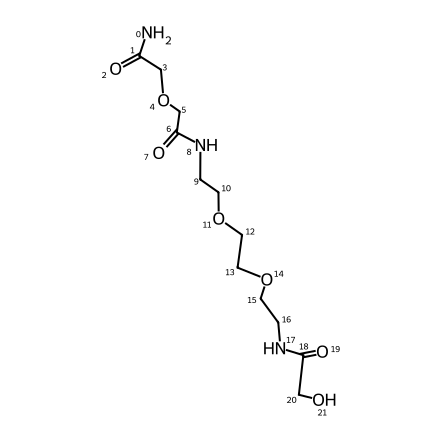 NC(=O)COCC(=O)NCCOCCOCCNC(=O)CO